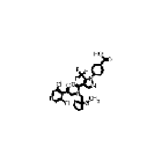 COC1(CN(CC(=O)c2c(Cl)cncc2Cl)C(=O)c2cnn(C3CCC(C(=O)O)CC3)c2C(F)(F)F)CCCC1